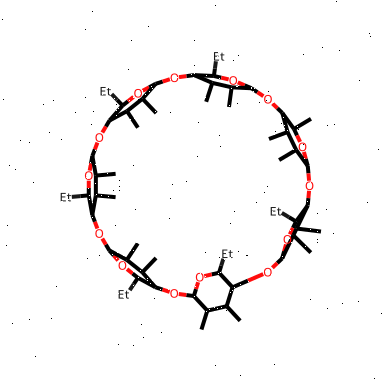 CCC1OC2OC3C(CC)OC(OC4C(CC)OC(OC5C(CC)OC(OC6C(CC)OC(OC7C(CC)OC(OC8C(C)OC(OC1C(C)C2C)C(C)C8C)C(C)C7C)C(C)C6C)C(C)C5C)C(C)C4C)C(C)C3C